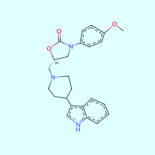 COc1ccc(N2C[C@H](CN3CCC(c4c[nH]c5ccccc45)CC3)OC2=O)cc1